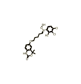 CC(=O)c1c([N+](=CCCCCOc2ccc3c(c2)C(C)(C)OC(=O)N3)OS)ccc(Cl)c1Cl